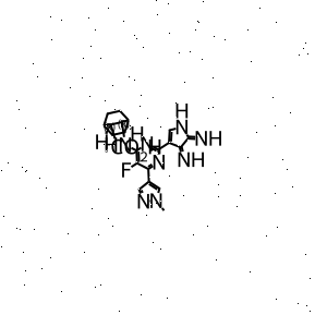 Cn1cc(-c2nc(C3=CNC(=N)C3=N)nc(N[C@@H]3C4CCC(CC4)[C@H]3C(=O)O)c2F)cn1